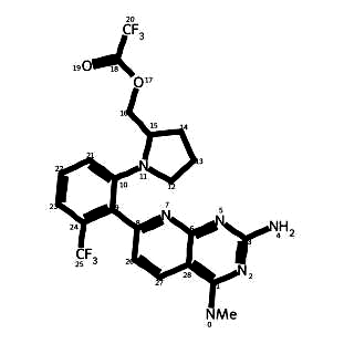 CNc1nc(N)nc2nc(-c3c(N4CCCC4COC(=O)C(F)(F)F)cccc3C(F)(F)F)ccc12